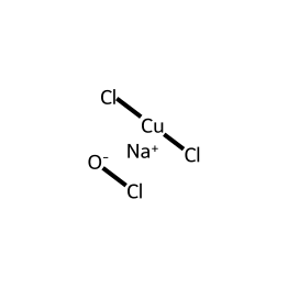 [Cl][Cu][Cl].[Na+].[O-]Cl